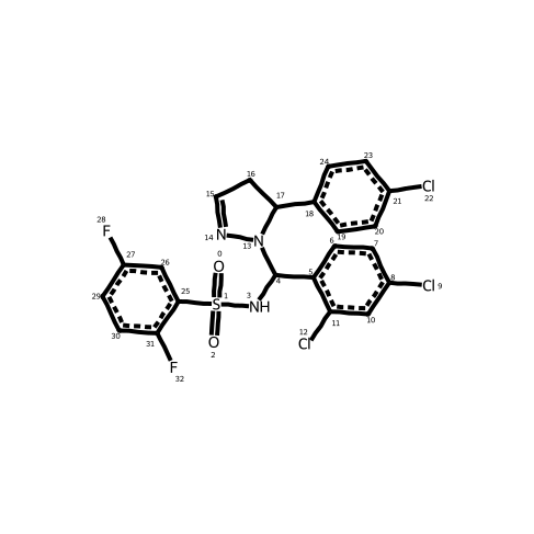 O=S(=O)(NC(c1ccc(Cl)cc1Cl)N1N=CCC1c1ccc(Cl)cc1)c1cc(F)ccc1F